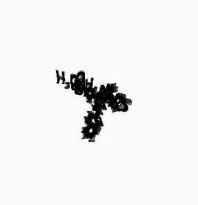 CS(=O)(=O)NC(=O)c1ccc(-c2c(/C=C/c3ccc4ccccc4n3)nc3c(N4CCOCC4)ccnn23)cc1